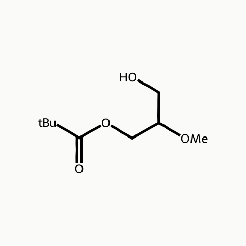 COC(CO)COC(=O)C(C)(C)C